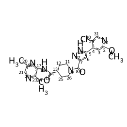 COc1cc(-c2cc(C(=O)N3CCC(C(=O)Nc4nc(C)cnc4C)CC3)n[nH]2)c(Cl)cn1